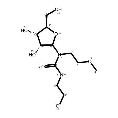 COCCN(C(=O)NCCCl)C1O[C@H](CO)[C@@H](O)[C@H]1O